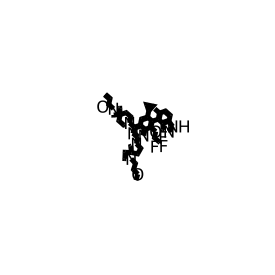 C=CC(=O)N1CC2(CCN(c3nc(N4CCC5(CCN5CCOC)C4)nc4c(OCC(F)(F)F)c(-c5c(C)ccc6[nH]ncc56)c(C5CC5)cc34)CC2)C1